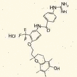 Cc1c(C)c2c(c(C)c1O)CCC(C)(CCOc1ccc(NC(=O)c3ccc(NC(=N)N)cc3)cc1C(F)(F)F)O2.Cl